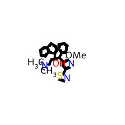 COc1ncc(-c2nccs2)cc1C(c1ccccc1)C(O)(CCN(C)C)c1cccc2ccccc12